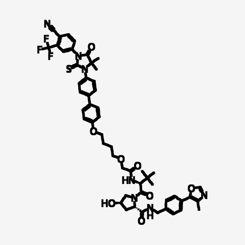 Cc1ncoc1-c1ccc(CNC(=O)[C@@H]2C[C@@H](O)CN2C(=O)[C@@H](NC(=O)COCCCCOc2ccc(-c3ccc(N4C(=S)N(c5ccc(C#N)c(C(F)(F)F)c5)C(=O)C4(C)C)cc3)cc2)C(C)(C)C)cc1